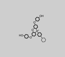 CC1(c2ccc(C3CCCCC3)cc2)c2ccc(Oc3ccc(O)cc3)cc2Oc2cc(Oc3ccc(O)cc3)ccc21